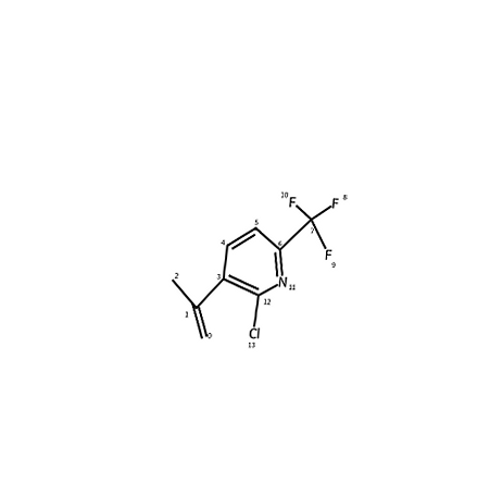 C=C(C)c1ccc(C(F)(F)F)nc1Cl